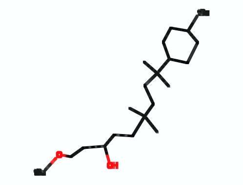 CC(C)(CCC(O)CCOC(C)(C)C)CCC(C)(C)C1CCC(C(C)(C)C)CC1